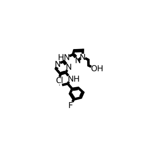 [CH2][C](Nc1nc(Nc2ccn(CCO)n2)ncc1Cl)c1cccc(F)c1